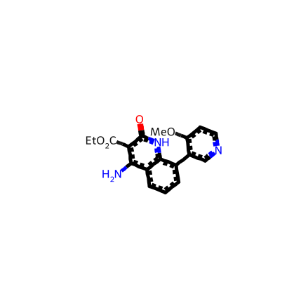 CCOC(=O)c1c(N)c2cccc(-c3cnccc3OC)c2[nH]c1=O